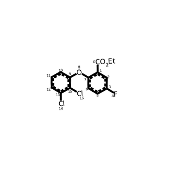 CCOC(=O)c1cc(F)ccc1Oc1cccc(Cl)c1Cl